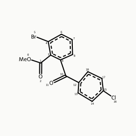 COC(=O)c1c(Br)cccc1C(=O)c1ccc(Cl)cc1